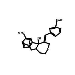 COc1cccc(/C=C2\CCCCC(CN(C)C)C2(O)c2cccc(OC)c2)c1